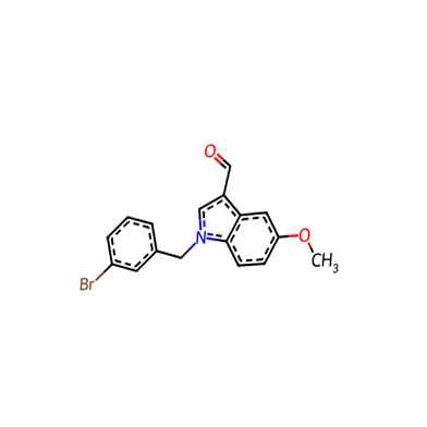 COc1ccc2c(c1)c(C=O)cn2Cc1cccc(Br)c1